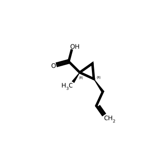 C=CC[C@@H]1C[C@@]1(C)C(=O)O